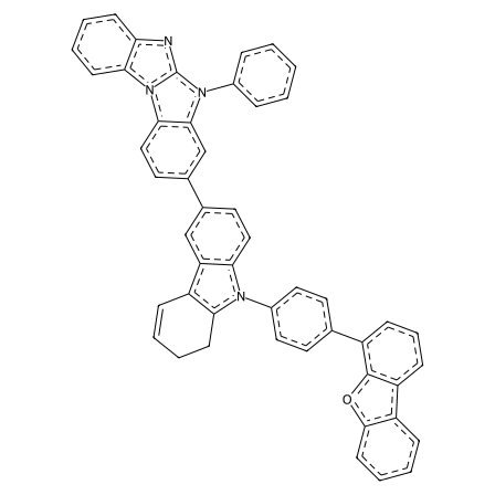 C1=Cc2c(n(-c3ccc(-c4cccc5c4oc4ccccc45)cc3)c3ccc(-c4ccc5c(c4)n(-c4ccccc4)c4nc6ccccc6n54)cc23)CC1